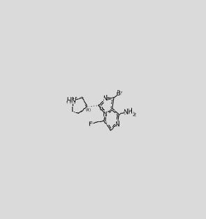 Nc1ncc(F)n2c([C@@H]3CCNC3)nc(Br)c12